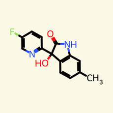 Cc1ccc2c(c1)NC(=O)C2(O)c1ccc(F)cn1